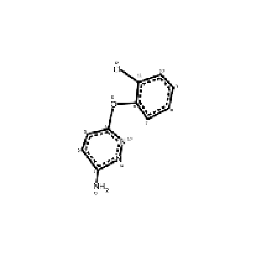 Nc1ccc(Oc2ccccc2Cl)nn1